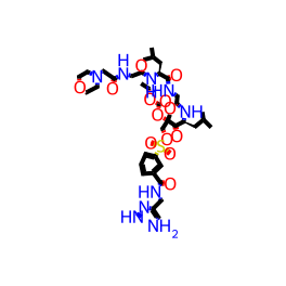 CCOC(=O)OC(C)(COS(=O)(=O)c1cccc(C(=O)NC/C(=C/N)N=N)c1)C(=O)[C@H](CC(C)C)NC(=O)CNC(=O)[C@H](CC(C)C)NC(=O)CNC(=O)CN1CCOCC1